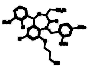 CCOC(=O)CC1OC(c2cccc(OC)c2Cl)c2cc(Cl)cc(OCCCO)c2N(Cc2ccc(OC)cc2OC)C1=O